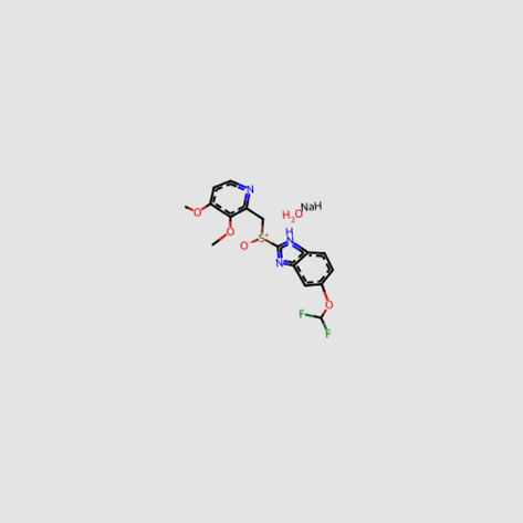 COc1ccnc(C[S+]([O-])c2nc3cc(OC(F)F)ccc3[nH]2)c1OC.O.[NaH]